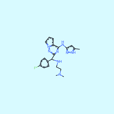 Cc1cc(Nc2nc(C(NCCN(C)C)c3ccc(F)cc3)nn3cccc23)n[nH]1